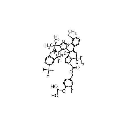 CCc1cccc2c1-n1nc3c(c1C1(C)C2=CC(C)(F)c2c1ccn2C(=O)OCc1ccc(OP(O)O)c(F)c1)CN(Cc1ccc(C(F)(F)F)cc1C(F)(F)F)C3(C)C